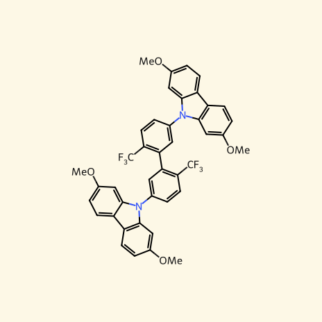 COc1ccc2c3ccc(OC)cc3n(-c3ccc(C(F)(F)F)c(-c4cc(-n5c6cc(OC)ccc6c6ccc(OC)cc65)ccc4C(F)(F)F)c3)c2c1